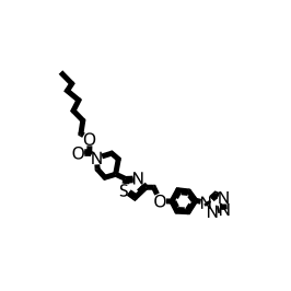 CCCCCCCOC(=O)N1CCC(c2nc(COc3ccc(-n4cnnn4)cc3)cs2)CC1